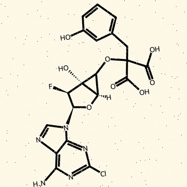 Nc1nc(Cl)nc2c1ncn2[C@@H]1O[C@@H]2C(OC(Cc3cccc(O)c3)(C(=O)O)C(=O)O)[C@]2(O)[C@@H]1F